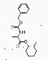 CC1CCCCC1OC(=O)[C@@H](C)NC(=O)OCc1ccccc1